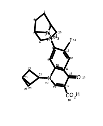 CN1C2CCC1CN(c1cc3c(cc1F)c(=O)c(C(=O)O)cn3C13CC(C1)C3)C2